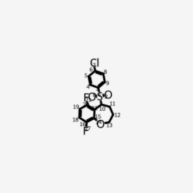 O=S(=O)(c1ccc(Cl)cc1)C1CCCOc2c(F)ccc(F)c21